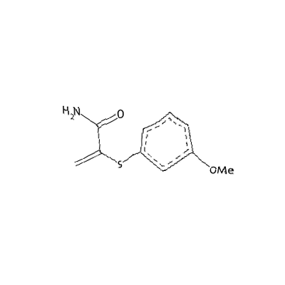 C=C(Sc1cccc(OC)c1)C(N)=O